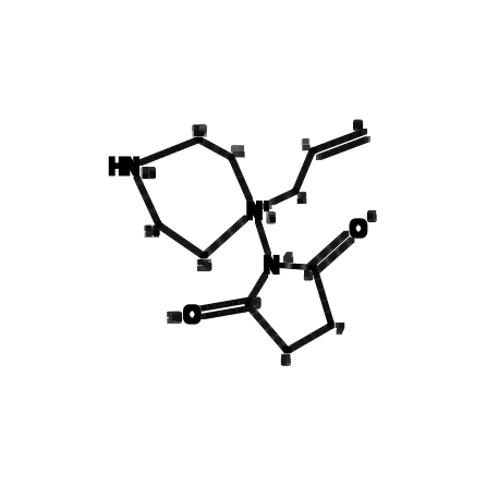 C=CC[N+]1(N2C(=O)CCC2=O)CCNCC1